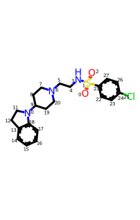 O=S(=O)(NCCN1CCC(N2CCc3ccccc32)CC1)c1ccc(Cl)cc1